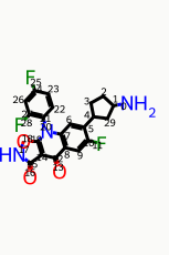 NC1CCC(c2cc3c(cc2F)c(=O)c2c(=O)[nH]oc2n3-c2ccc(F)cc2F)C1